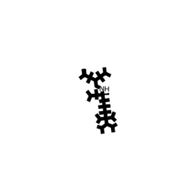 C=C(C)C(C)(C)C(CN[C@@](C)(C(C)(C)C(C)C)C(C)(C)C(C)(C)C(C)(C)C(C(C)C)(C(C)C)C(C(C)C)C(C)C)C(C)(C)C(C)C